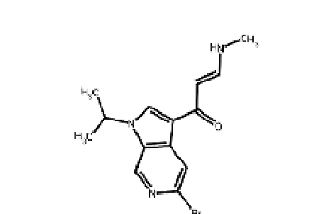 CN/C=C/C(=O)c1cn(C(C)C)c2cnc(Br)cc12